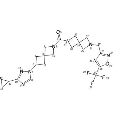 O=C(N1CC2(CC(n3cnc(C4CC4)n3)C2)C1)N1CC2(CN(Cc3noc(C(F)(F)F)n3)C2)C1